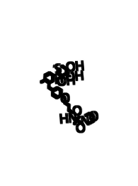 Cc1ccc([C@H]2[C@H](O)[C@H](O)[C@H](O)C[SH]2C)cc1Cc1ccc(OCCCC(=O)NC(C)(C)C(=O)N2CCOCC2)cc1